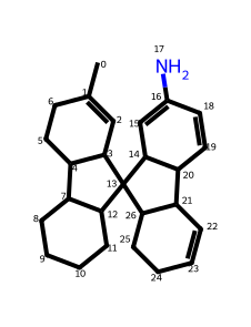 CC1=CC2C(CC1)C1CCCCC1C21C2C=C(N)C=CC2C2C=CCCC21